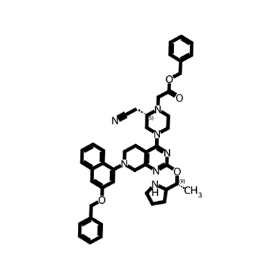 C[C@@H](Oc1nc2c(c(N3CCN(CC(=O)OCc4ccccc4)[C@@H](CC#N)C3)n1)CCN(c1cc(OCc3ccccc3)cc3ccccc13)C2)C1CCCN1